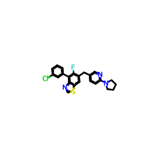 Fc1c(Cc2ccc(N3CCCC3)nc2)cc2scnc2c1-c1cccc(Cl)c1